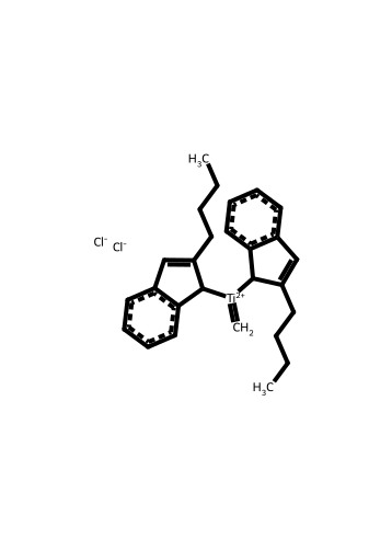 [CH2]=[Ti+2]([CH]1C(CCCC)=Cc2ccccc21)[CH]1C(CCCC)=Cc2ccccc21.[Cl-].[Cl-]